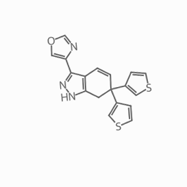 C1=CC(c2ccsc2)(c2ccsc2)Cc2[nH]nc(-c3cocn3)c21